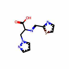 O=C(O)C(Cn1cccn1)N=Cc1nccs1